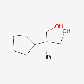 CC(C)C(CO)(CO)C1CCCC1